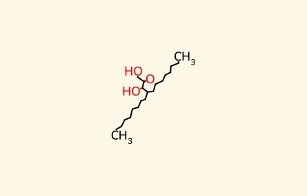 CCCCCCCCCC(CCCCCCCC)C(O)C(=O)CO